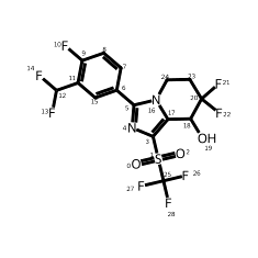 O=S(=O)(c1nc(-c2ccc(F)c(C(F)F)c2)n2c1C(O)C(F)(F)CC2)C(F)(F)F